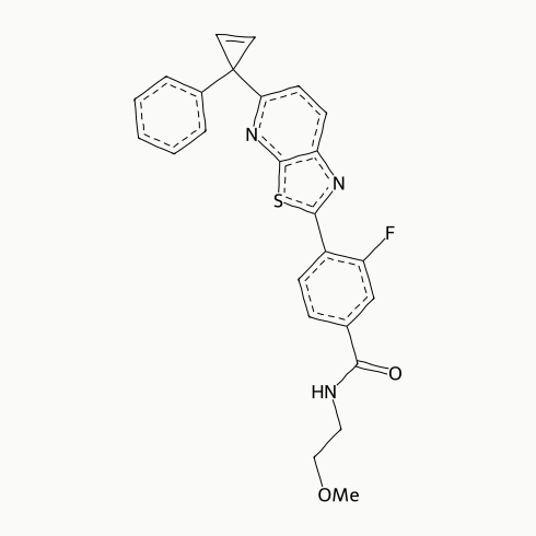 COCCNC(=O)c1ccc(-c2nc3ccc(C4(c5ccccc5)C=C4)nc3s2)c(F)c1